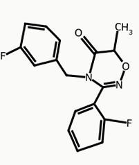 CC1ON=C(c2ccccc2F)N(Cc2cccc(F)c2)C1=O